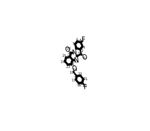 O=C1c2cc(F)ccc2-n2c1nc1c(OCc3ccc(F)cc3)cccc1c2=O